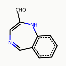 O=CC1=CN=Cc2ccccc2N1